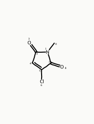 CN1C(=O)C=C(Cl)C1=O